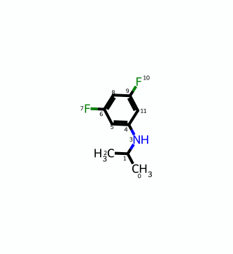 CC(C)Nc1cc(F)cc(F)c1